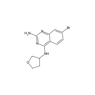 Nc1nc(NC2CCOC2)c2ccc(Br)cc2n1